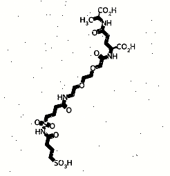 C[C@@H](NC(=O)CC[C@H](NC(=O)COCCOCCNC(=O)CCCS(=O)(=O)NC(=O)CCCS(=O)(=O)O)C(=O)O)C(=O)O